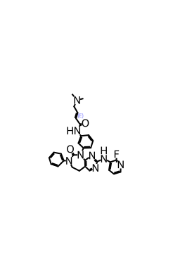 CN(C)C/C=C/C(=O)Nc1cccc(N2C(=O)N(c3ccccc3)CCc3cnc(Nc4cccnc4F)nc32)c1